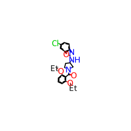 CCOc1cccc(OCC)c1C(=O)N1CC[C@@H](Nc2nc3ccc(Cl)cc3o2)C1